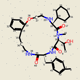 Cc1ccc(C[C@H]2NC(=O)[C@H](C(C)O)N(C)C(=O)[C@H](C3CCCCC3)NCCOc3ccccc3CCCNC2=O)cc1